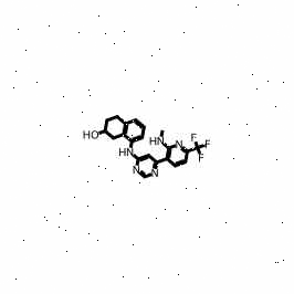 CNc1nc(C(F)(F)F)ccc1-c1cc(Nc2cccc3c2CC(O)CC3)ncn1